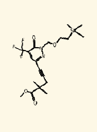 COC(=O)C(C)(C)CC#Cc1cc(C(F)(F)F)c(=O)n(COCC[Si](C)(C)C)n1